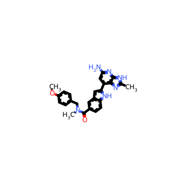 COc1ccc(CN(C)C(=O)c2ccc3[nH]c(-c4cc(N)nc5[nH]c(C)nc45)cc3c2)cc1